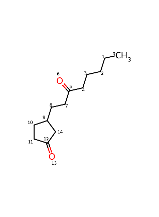 CCCCCC(=O)CCC1CCC(=O)C1